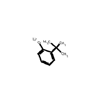 CC(C)(C)c1ccccc1[O-].[Li+]